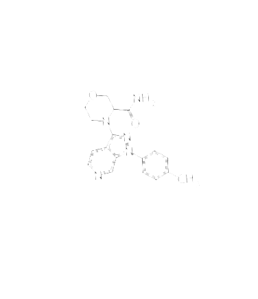 Cc1ccc(-n2nc(N3CCOCC3C(N)=O)c3ccncc32)cc1